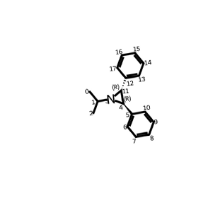 CC(C)N1[C@H](c2ccccc2)[C@H]1c1ccccc1